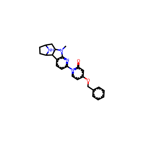 CN1c2nc(-n3ccc(OCc4ccccc4)cc3=O)ccc2C2C3CCC(CC21)N3